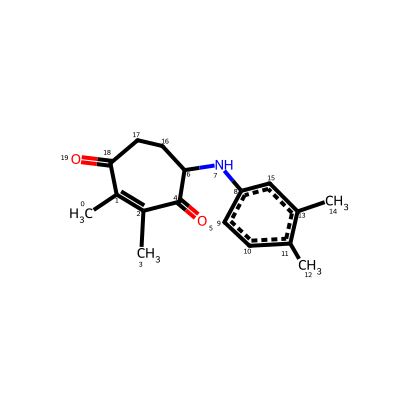 CC1=C(C)C(=O)C(Nc2ccc(C)c(C)c2)CCC1=O